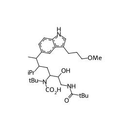 COCCCc1c[nH]c2ccc(C(C)C(CC(C(O)CNC(=O)C(C)(C)C)N(C(=O)O)C(C)(C)C)C(C)C)cc12